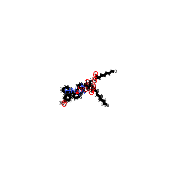 CCCCCCCC(=O)OC[C@H]1O[C@@H](n2ccc3c(NC(c4ccccc4)(c4ccccc4)c4ccc(OC)cc4)ncnc32)[C@](C)(O)[C@@H]1OC(=O)CCCCCCC